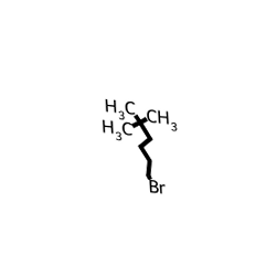 CC(C)(C)CCCCBr